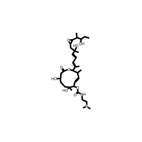 CCC(O)C(C)C1OC1CC(C)(O)/C=C/C=C(\C)C1OC(=O)CC(O)CCC(C)(O)C(OC(=O)NCCN(C)C)/C=C/C1C